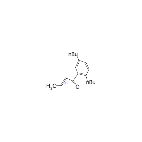 C/C=C/C(=O)c1cc(CCCC)ccc1CCCC